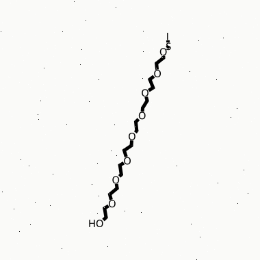 OCCOCCOCCOCCOCCOCCOCCOCCOSI